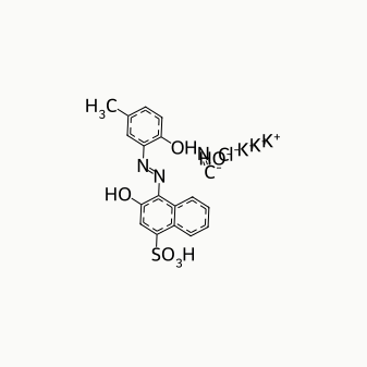 Cc1ccc(O)c(/N=N/c2c(O)cc(S(=O)(=O)O)c3ccccc23)c1.[C-]#N.[Cl-].[K+].[K+].[K+].[OH-]